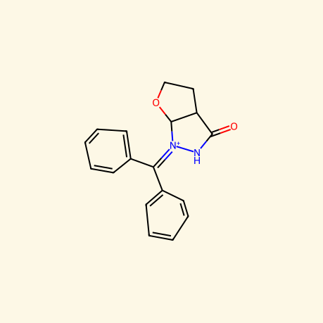 O=C1N[N+](=C(c2ccccc2)c2ccccc2)C2OCCC12